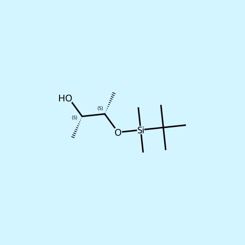 C[C@H](O)[C@H](C)O[Si](C)(C)C(C)(C)C